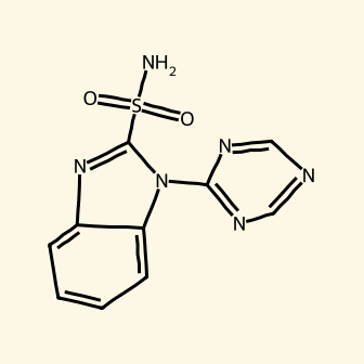 NS(=O)(=O)c1nc2ccccc2n1-c1ncncn1